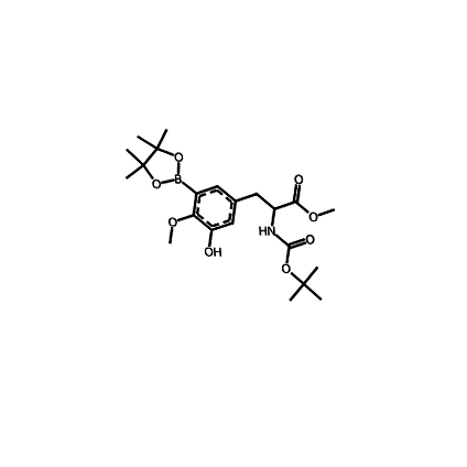 COC(=O)C(Cc1cc(O)c(OC)c(B2OC(C)(C)C(C)(C)O2)c1)NC(=O)OC(C)(C)C